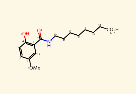 COc1ccc(O)c(C(=O)NCCCCCCCC(=O)O)c1